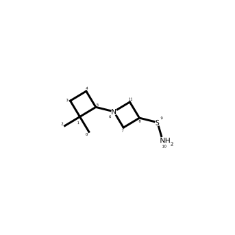 CC1(C)CCC1N1CC(SN)C1